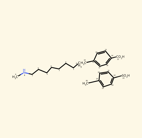 CCCCCCCCNC.Cc1ccc(C(=O)O)cc1.Cc1ccc(S(=O)(=O)O)cc1